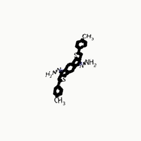 Cc1ccc(-c2cc3/c(=N\N)c4cc5c(cc4c3s2)/c(=N/N)c2cc(-c3ccc(C)cc3)sc25)cc1